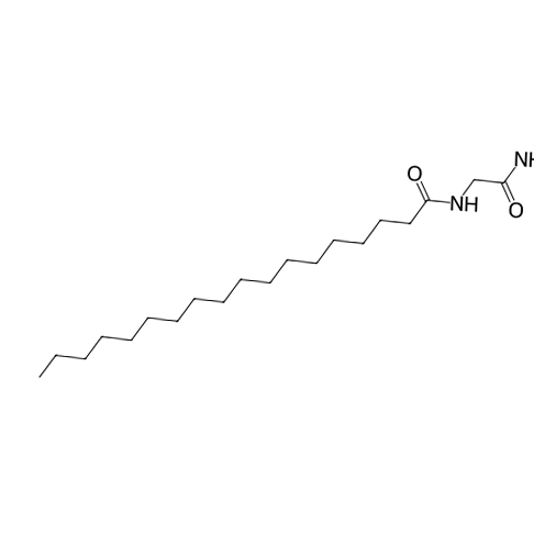 CCCCCCCCCCCCCCCCCC(=O)NCC(N)=O